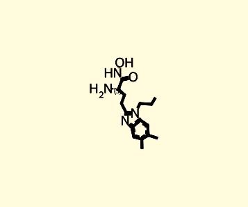 CCCn1c(CC[C@H](N)C(=O)NO)nc2cc(C)c(C)cc21